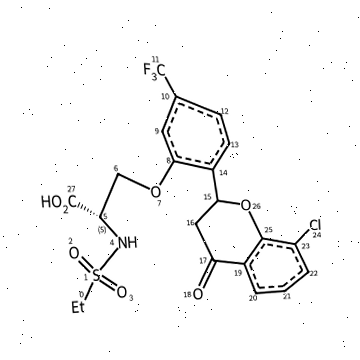 CCS(=O)(=O)N[C@@H](COc1cc(C(F)(F)F)ccc1C1CC(=O)c2cccc(Cl)c2O1)C(=O)O